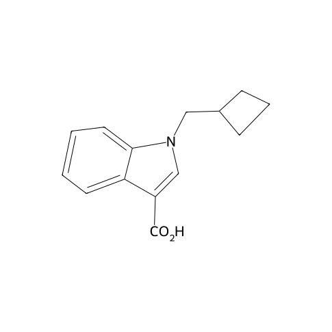 O=C(O)c1cn(CC2CCC2)c2ccccc12